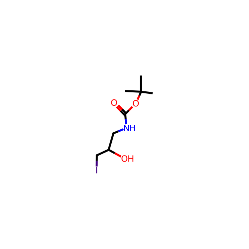 CC(C)(C)OC(=O)NCC(O)CI